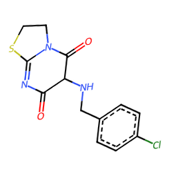 O=C1N=C2SCCN2C(=O)C1NCc1ccc(Cl)cc1